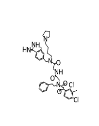 Cc1c(Cl)ccc(S(=O)(=O)N(CCc2ccccc2)CC(=O)NCC(=O)N(CCCCN2CCCC2)Cc2ccc(C(=N)N)cc2)c1Cl